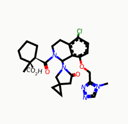 Cn1cnnc1COc1ccc(Cl)c2c1C(N1CC3(CC3)CC1=O)N(C(=O)[C@@H]1CCCC[C@]1(C)C(=O)O)CC2